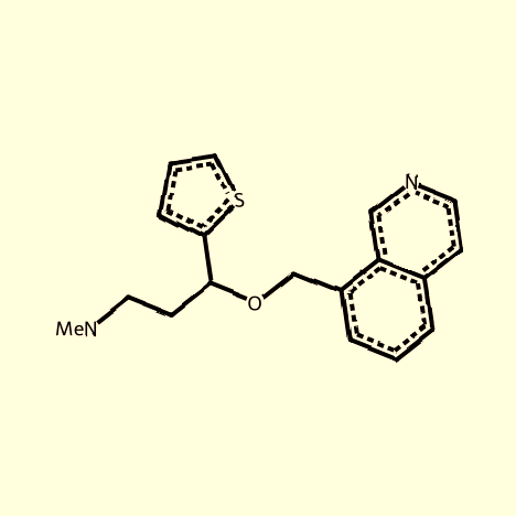 CNCCC(OCc1cccc2ccncc12)c1cccs1